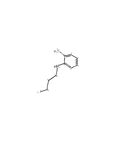 Cc1ccccc1NCCCI